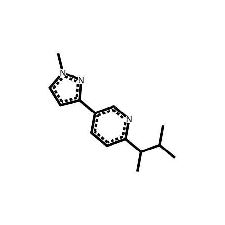 CC(C)C(C)c1ccc(-c2ccn(C)n2)cn1